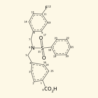 O=C(O)c1ccc(CN(Cc2ccc(F)cc2)S(=O)(=O)c2ccccc2)cc1